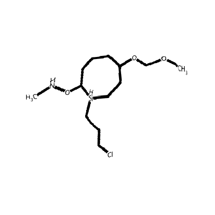 CNOC1CCCC(OCOC)CC[SiH]1CCCCl